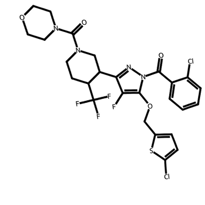 O=C(N1CCOCC1)N1CCC(C(F)(F)F)C(c2nn(C(=O)c3ccccc3Cl)c(OCc3ccc(Cl)s3)c2F)C1